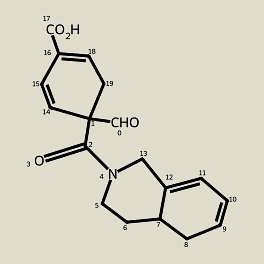 O=CC1(C(=O)N2CCC3CC=CC=C3C2)C=CC(C(=O)O)=CC1